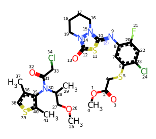 COC(=O)CSc1cc(/N=c2\sc(=O)n3n2CCCC3)c(F)cc1Cl.COCC(C)N(C(=O)CCl)c1c(C)csc1C